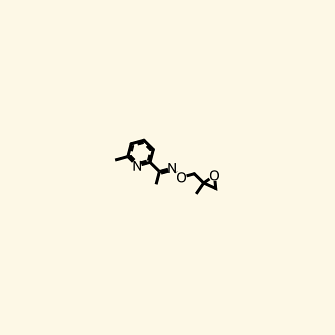 CC(=NOCC1(C)CO1)c1cccc(C)n1